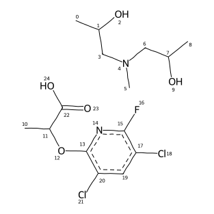 CC(O)CN(C)CC(C)O.CC(Oc1nc(F)c(Cl)cc1Cl)C(=O)O